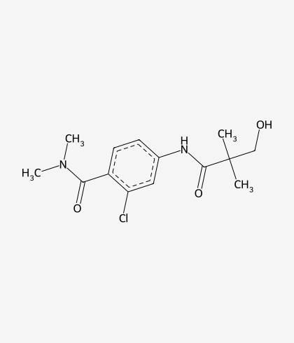 CN(C)C(=O)c1ccc(NC(=O)C(C)(C)CO)cc1Cl